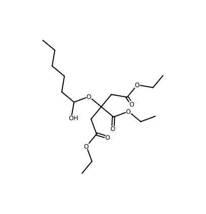 CCCCCC(O)OC(CC(=O)OCC)(CC(=O)OCC)C(=O)OCC